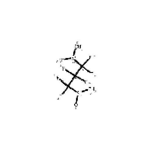 C[S+]([O-])C(F)(F)C(F)(F)C(F)(F)[S+](C)[O-]